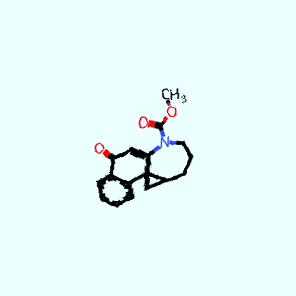 COC(=O)N1CCCC2CC23C1=CC(=O)c1ccccc13